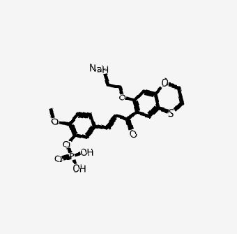 CCCOc1cc2c(cc1C(=O)/C=C/c1ccc(OC)c(OP(=O)(O)O)c1)SCCO2.[NaH]